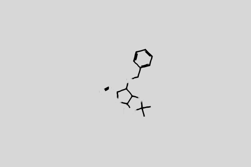 CC1(C)OC2C(OCc3ccccc3)[C@@H](C=O)O[C@@H]2O1